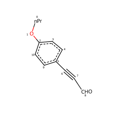 CCCOc1ccc(C#CC=O)cc1